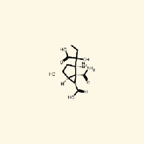 CCC(O)(C(=O)O)[C@]1(N)CC[C@@H]2[C@H](C(=O)O)[C@@]21C(N)=O.Cl